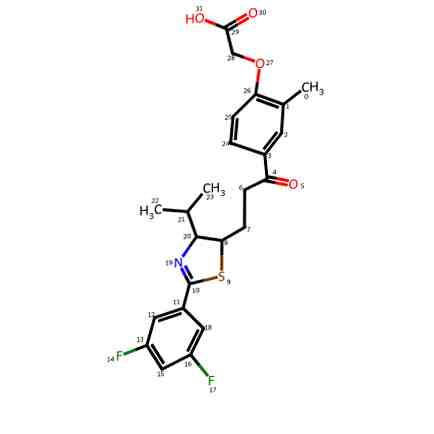 Cc1cc(C(=O)CCC2SC(c3cc(F)cc(F)c3)=NC2C(C)C)ccc1OCC(=O)O